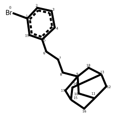 Brc1cccc(CCCC23CC4CC(CC(C4)C2)C3)c1